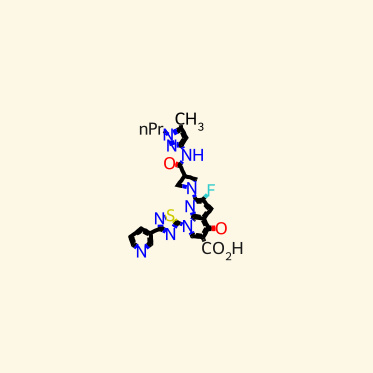 CCCn1nc(NC(=O)C2CN(c3nc4c(cc3F)c(=O)c(C(=O)O)cn4-c3nc(-c4cccnc4)ns3)C2)cc1C